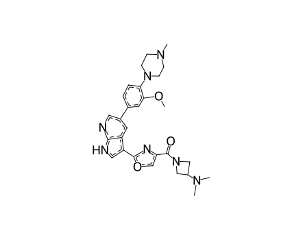 COc1cc(-c2cnc3[nH]cc(-c4nc(C(=O)N5CC(N(C)C)C5)co4)c3c2)ccc1N1CCN(C)CC1